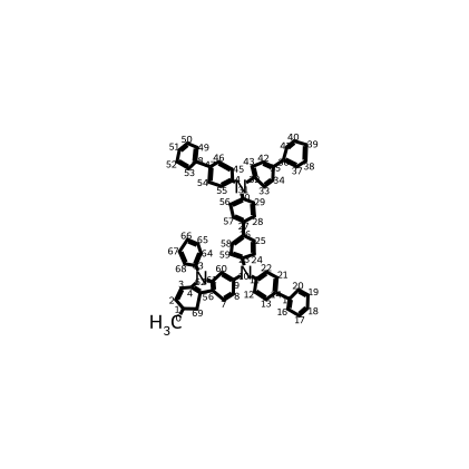 CC1C=Cc2c(c3ccc(N(c4ccc(-c5ccccc5)cc4)c4ccc(-c5ccc(N(c6ccc(-c7ccccc7)cc6)c6ccc(-c7ccccc7)cc6)cc5)cc4)cc3n2-c2ccccc2)C1